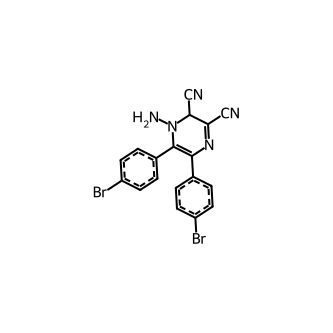 N#CC1=NC(c2ccc(Br)cc2)=C(c2ccc(Br)cc2)N(N)C1C#N